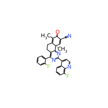 CC1=C2CCc3c(-c4ccccc4F)nc(-c4ccnc5c(F)cccc45)nc3[C@]2(C)C=C(C#N)C1=O